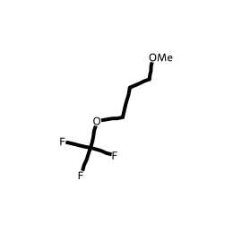 [CH2]OCCCOC(F)(F)F